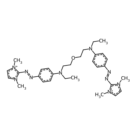 CCN(CCOCCN(CC)c1ccc(N=Nc2n(C)cc[n+]2C)cc1)c1ccc(N=Nc2n(C)cc[n+]2C)cc1